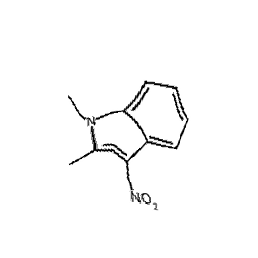 Cc1c([N+](=O)[O-])c2ccccc2n1C